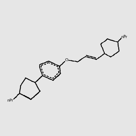 CCCC1CCC(/C=C/COc2ccc(C3CCC(CCC)CC3)cc2)CC1